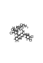 CC1(C)CC(N=c2cc3n(-c4ccc(Cl)c(Cl)c4)c4ccccc4nc-3cc2Nc2ccc(Cl)c(Cl)c2)CC(C)(C)N1